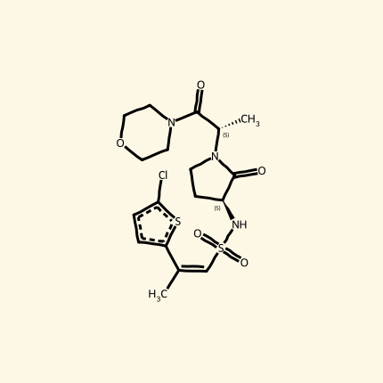 CC(=CS(=O)(=O)N[C@H]1CCN([C@@H](C)C(=O)N2CCOCC2)C1=O)c1ccc(Cl)s1